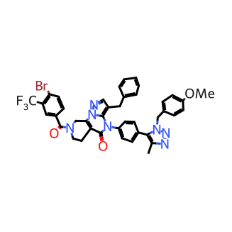 COc1ccc(Cn2nnc(C)c2-c2ccc(-n3c(=O)c4c(n5ncc(Cc6ccccc6)c35)CN(C(=O)c3ccc(Br)c(C(F)(F)F)c3)CC4)cc2)cc1